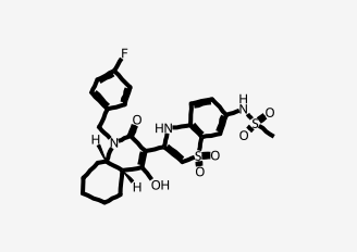 CS(=O)(=O)Nc1ccc2c(c1)S(=O)(=O)C=C(C1=C(O)[C@@H]3CCCCC[C@@H]3N(Cc3ccc(F)cc3)C1=O)N2